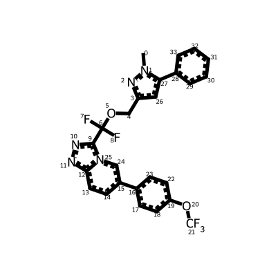 Cn1nc(COC(F)(F)c2nnc3ccc(-c4ccc(OC(F)(F)F)cc4)cn23)cc1-c1ccccc1